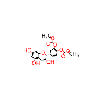 COC(=O)Oc1ccc([C@H]2Oc3cc(O)cc(O)c3C[C@H]2O)cc1OC(=O)OC